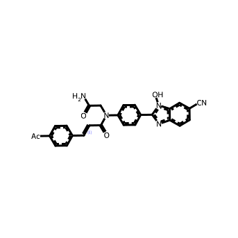 CC(=O)c1ccc(/C=C/C(=O)N(CC(N)=O)c2ccc(-c3nc4ccc(C#N)cc4n3O)cc2)cc1